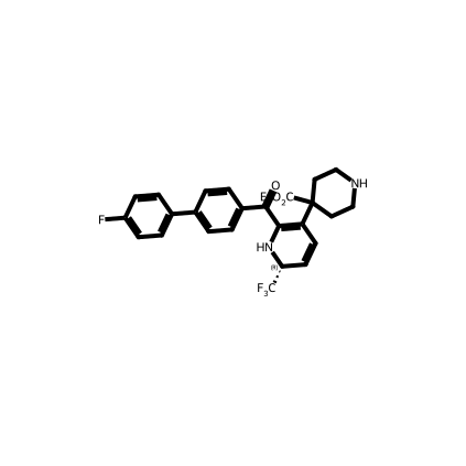 CCOC(=O)C1(C2=C(C(=O)c3ccc(-c4ccc(F)cc4)cc3)N[C@@H](C(F)(F)F)C=C2)CCNCC1